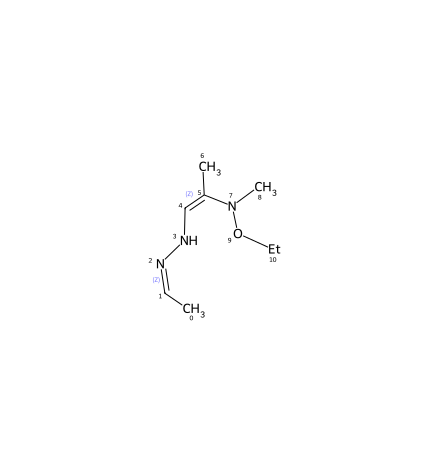 C/C=N\N/C=C(/C)N(C)OCC